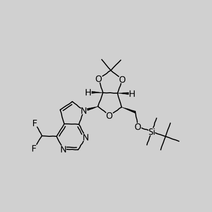 CC1(C)O[C@@H]2[C@H](O1)[C@@H](CO[Si](C)(C)C(C)(C)C)O[C@H]2n1ccc2c(C(F)F)ncnc21